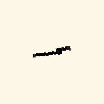 CCOc1ccc(CCCCCCCCCCBr)cc1